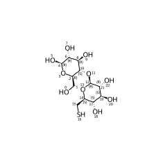 OC[C@H]1O[C@@H](O)[C@H](O)[C@@H](O)[C@@H]1O[C@@H]1O[C@H](CS)[C@@H](O)[C@H](O)[C@H]1O